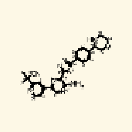 CC(C)(C#N)c1cc(-c2cnc(N)c(-c3nnc(-c4ccc(C5COCCN5)cc4)o3)n2)ccn1